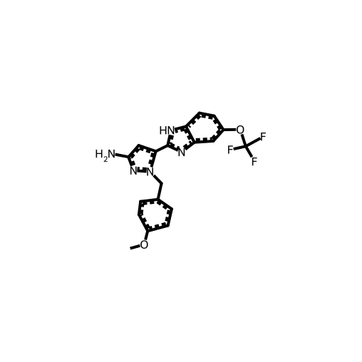 COc1ccc(Cn2nc(N)cc2-c2nc3cc(OC(F)(F)F)ccc3[nH]2)cc1